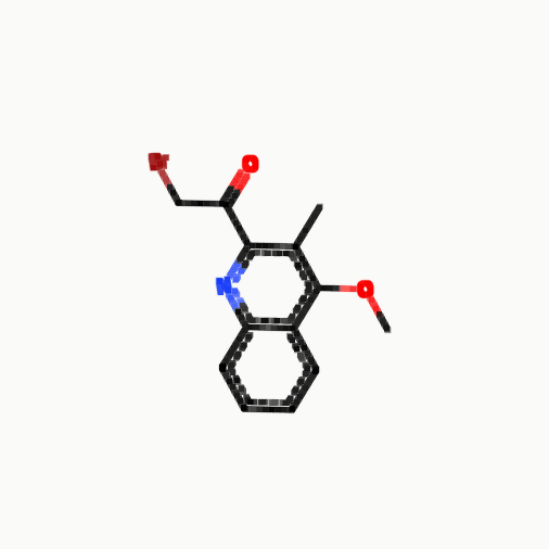 COc1c(C)c(C(=O)CBr)nc2ccccc12